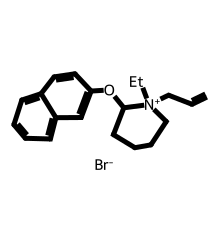 C=CC[N+]1(CC)CCCCC1Oc1ccc2ccccc2c1.[Br-]